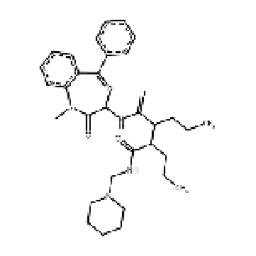 CN1C(=O)C(NC(=O)C(CCC(F)(F)F)C(CCC(F)(F)F)C(=O)NCN2CCCCC2)N=C(c2ccccc2)c2ccccc21